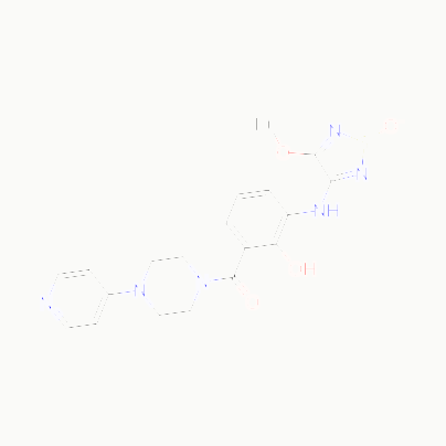 CCOc1n[s+]([O-])nc1Nc1cccc(C(=O)N2CCN(c3ccncc3)CC2)c1O